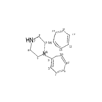 c1ccc(N2CCNCC2)cc1.c1ccccc1